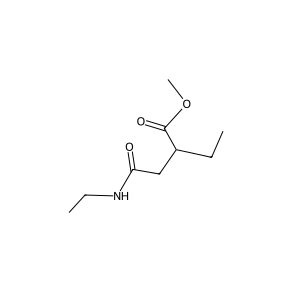 CCNC(=O)CC(CC)C(=O)OC